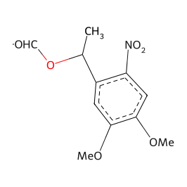 COc1cc(C(C)O[C]=O)c([N+](=O)[O-])cc1OC